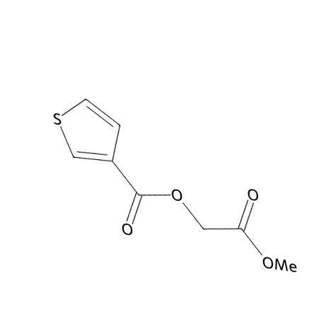 COC(=O)COC(=O)c1ccsc1